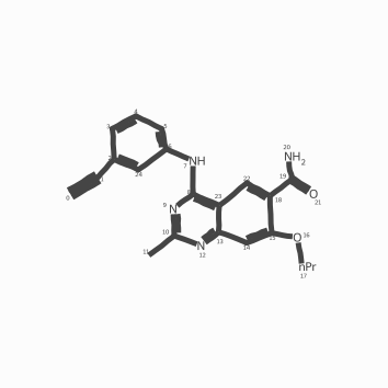 C#Cc1cccc(Nc2nc(C)nc3cc(OCCC)c(C(N)=O)cc23)c1